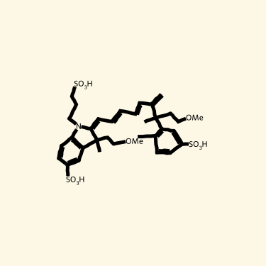 C=C(/C=C/C=C/C=C1/N(CCCS(=O)(=O)O)c2ccc(S(=O)(=O)O)cc2C1(C)CCOC)C(C)(CCOC)c1cc(S(=O)(=O)O)ccc1C